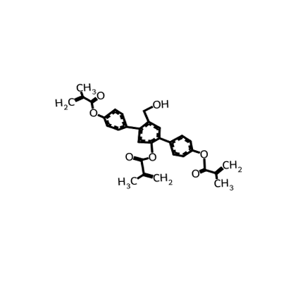 C=C(C)C(=O)Oc1ccc(-c2cc(OC(=O)C(=C)C)c(-c3ccc(OC(=O)C(=C)C)cc3)cc2CO)cc1